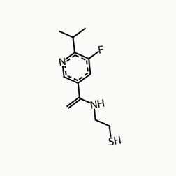 C=C(NCCS)c1cnc(C(C)C)c(F)c1